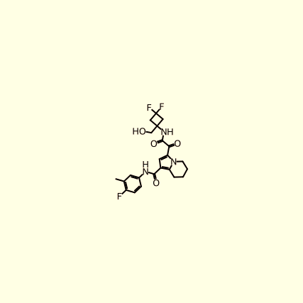 Cc1cc(NC(=O)c2cc(C(=O)C(=O)NC3(CO)CC(F)(F)C3)n3c2CCCC3)ccc1F